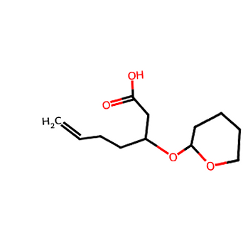 C=CCCC(CC(=O)O)OC1CCCCO1